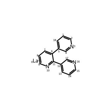 [La].c1cncc(-c2cccnc2-c2cccnc2)c1